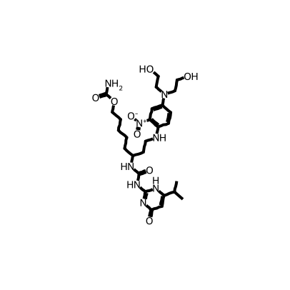 CC(C)c1cc(=O)nc(NC(=O)NC(CCCCCOC(N)=O)CCNc2ccc(N(CCO)CCO)cc2[N+](=O)[O-])[nH]1